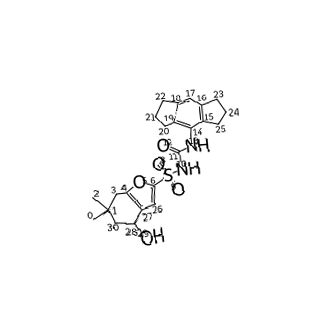 CC1(C)Cc2oc(S(=O)(=O)NC(=O)Nc3c4c(cc5c3CCC5)CCC4)cc2C(O)C1